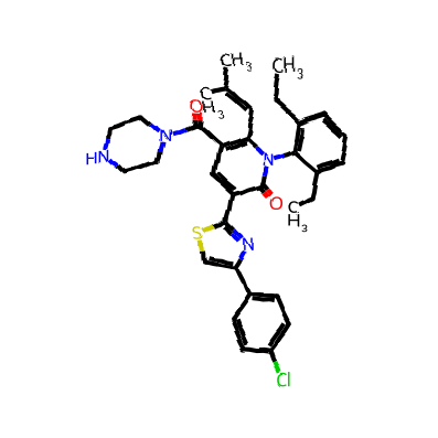 CCc1cccc(CC)c1-n1c(C=C(C)C)c(C(=O)N2CCNCC2)cc(-c2nc(-c3ccc(Cl)cc3)cs2)c1=O